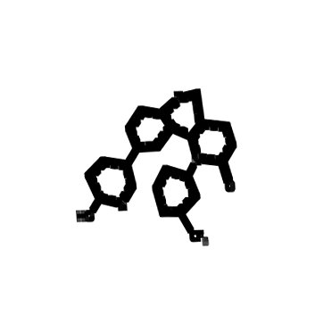 O=c1ccc2cnc3ccc(-c4ccc(O)nc4)cc3c2n1-c1cccc(C(F)(F)F)c1